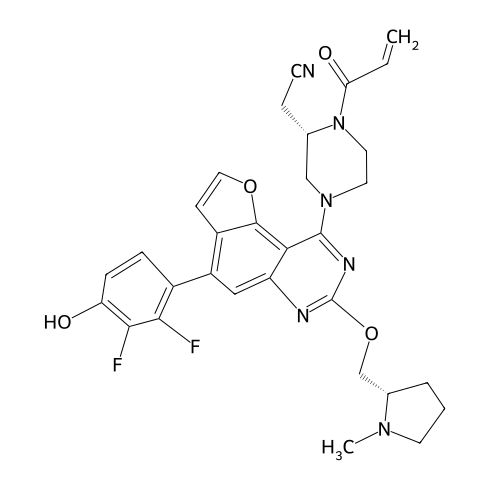 C=CC(=O)N1CCN(c2nc(OC[C@@H]3CCCN3C)nc3cc(-c4ccc(O)c(F)c4F)c4ccoc4c23)C[C@@H]1CC#N